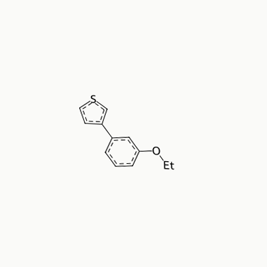 CCOc1cccc(-c2ccsc2)c1